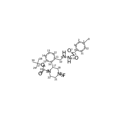 Cc1ccc(S(=O)(=O)NNCc2ccccc2C2CN(F)CCN2C(=O)OC(C)(C)C)cc1